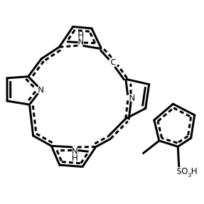 C1=Cc2cc3ccc(cc4nc(cc5ccc(cc1n2)[nH]5)C=C4)[nH]3.Cc1ccccc1S(=O)(=O)O